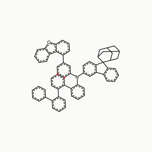 c1ccc(-c2ccccc2-c2ccccc2-c2ccccc2N(c2cccc(-c3cccc4oc5ccccc5c34)c2)c2ccc3c(c2)-c2ccccc2C32C3CC4CC(C3)CC2C4)cc1